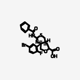 O=C(NC1=N[C@@]2(c3cc(Br)ccc3F)COC(C(=O)O)C[C@H]2CS1)c1ccccc1